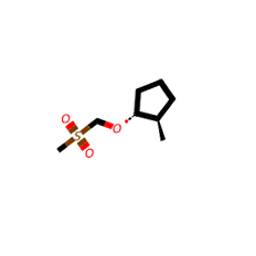 C[C@@H]1CCC[C@H]1OCS(C)(=O)=O